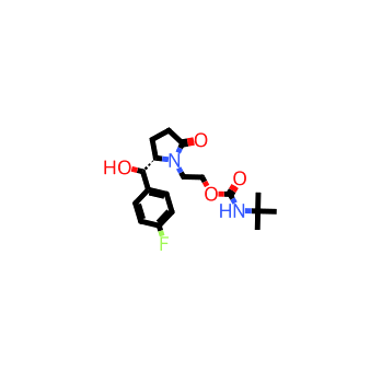 CC(C)(C)NC(=O)OCCN1C(=O)CC[C@H]1C(O)c1ccc(F)cc1